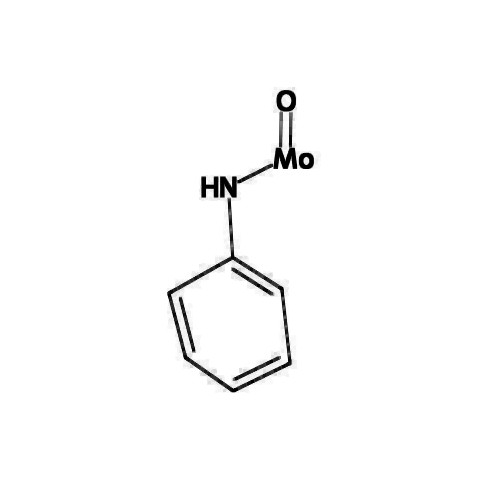 [O]=[Mo][NH]c1ccccc1